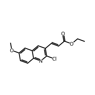 CCOC(=O)/C=C/c1cc2cc(OC)ccc2nc1Cl